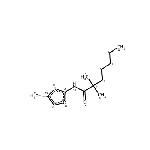 CCCCCC(C)(C)C(=O)Nc1nc(C)co1